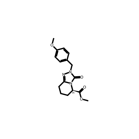 COC(=O)[C@H]1CCCc2nn(Cc3ccc(OC)cc3)c(=O)n21